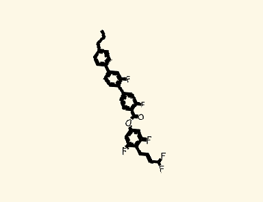 CCCc1ccc(-c2ccc(-c3ccc(C(=O)Oc4cc(F)c(C/C=C/C(F)F)c(F)c4)c(F)c3)c(F)c2)cc1